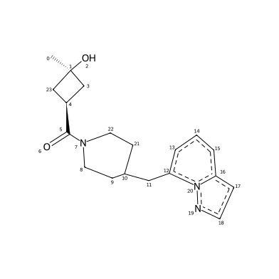 C[C@]1(O)C[C@@H](C(=O)N2CCC(Cc3cccc4ccnn34)CC2)C1